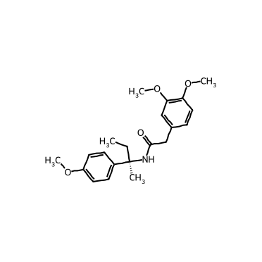 CC[C@@](C)(NC(=O)Cc1ccc(OC)c(OC)c1)c1ccc(OC)cc1